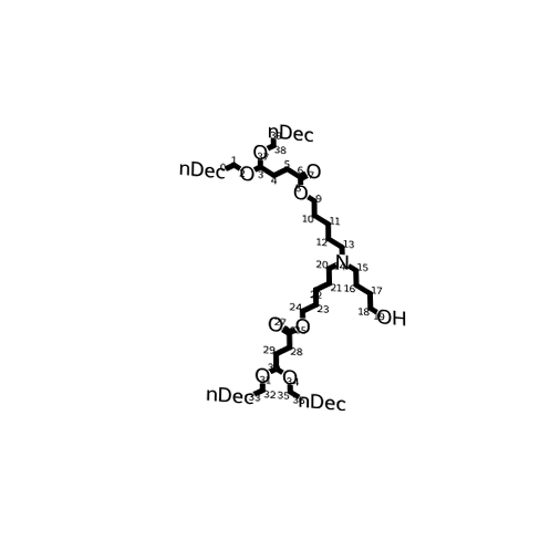 CCCCCCCCCCCOC(CCC(=O)OCCCCCN(CCCCO)CCCCCOC(=O)CCC(OCCCCCCCCCCC)OCCCCCCCCCCC)OCCCCCCCCCCC